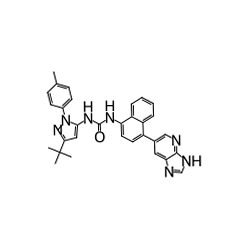 Cc1ccc(-n2nc(C(C)(C)C)cc2NC(=O)Nc2ccc(-c3cnc4[nH]cnc4c3)c3ccccc23)cc1